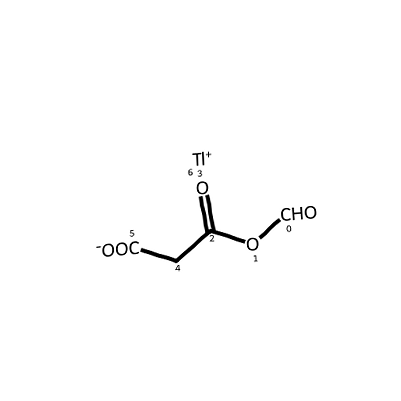 O=COC(=O)CC(=O)[O-].[Tl+]